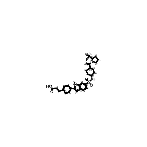 Cn1c(-c2ccc(CCC(=O)O)cc2)cc2ccc(S(=O)(=O)NC3CCC(C(=O)N4CCCC4C(F)(F)F)CC3)cc21